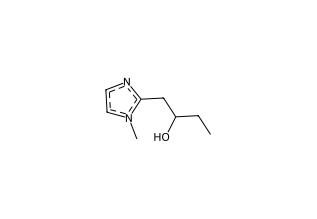 CCC(O)Cc1nccn1C